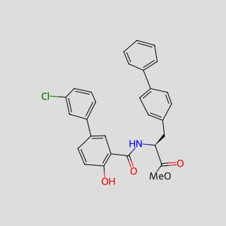 COC(=O)[C@H](Cc1ccc(-c2ccccc2)cc1)NC(=O)c1cc(-c2cccc(Cl)c2)ccc1O